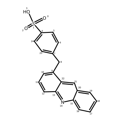 O=S(=O)(O)c1ccc(Cc2cccc3nc4ccccc4cc23)cc1